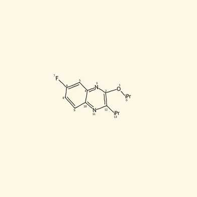 CC(C)Oc1nc2cc(F)ccc2nc1C(C)C